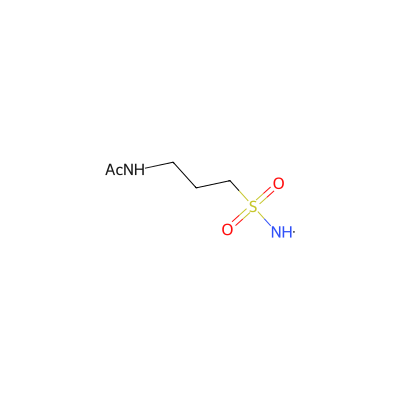 CC(=O)NCCCS([NH])(=O)=O